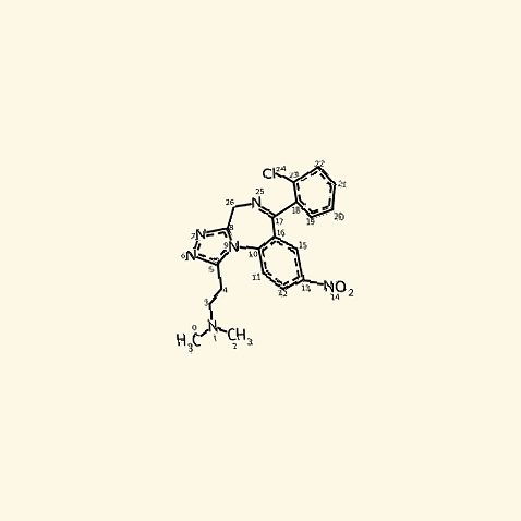 CN(C)CCc1nnc2n1-c1ccc([N+](=O)[O-])cc1C(c1ccccc1Cl)=NC2